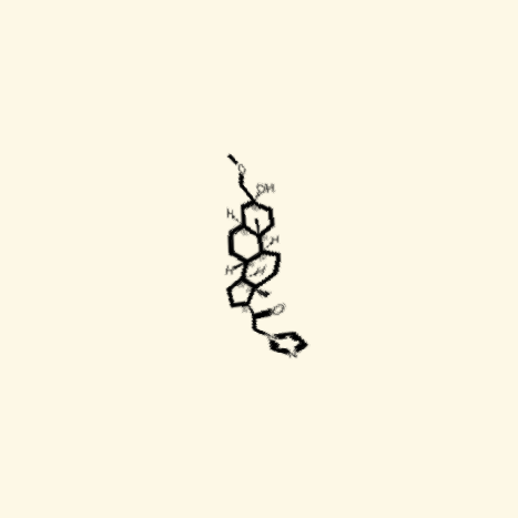 COC[C@@]1(O)CC[C@@]2(C)[C@@H](CC[C@@H]3[C@@H]2CC[C@]2(C)[C@@H](C(=O)Cn4ccnc4)CC[C@@H]32)C1